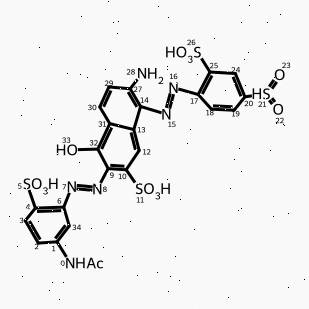 CC(=O)Nc1ccc(S(=O)(=O)O)c(N=Nc2c(S(=O)(=O)O)cc3c(N=Nc4ccc([SH](=O)=O)cc4S(=O)(=O)O)c(N)ccc3c2O)c1